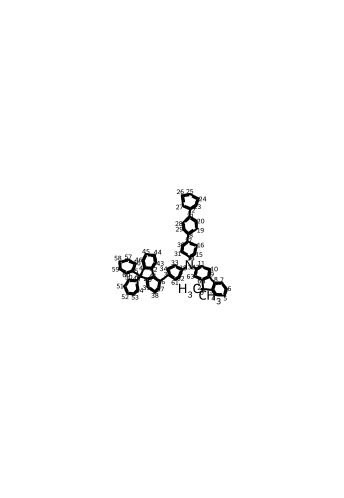 CC1(C)c2ccccc2-c2ccc(N(c3ccc(-c4ccc(-c5ccccc5)cc4)cc3)c3ccc(-c4cccc5c4-c4ccccc4C5(c4ccccc4)c4ccccc4)cc3)cc21